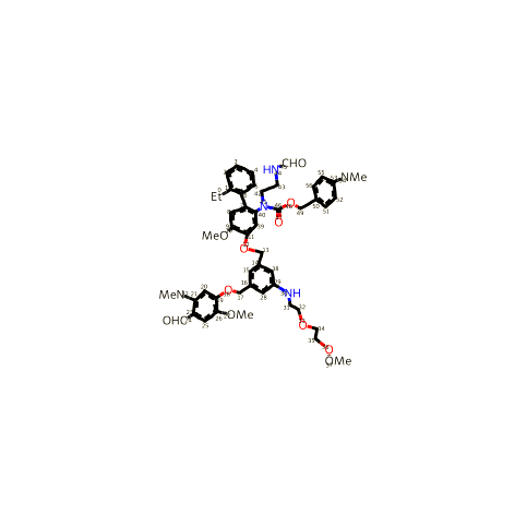 CCc1ccccc1-c1cc(OC)c(OCc2cc(COc3cc(NC)c(C=O)cc3OC)cc(NCCOCCOOC)c2)cc1N(CCNC=O)C(=O)OCc1ccc(NC)cc1